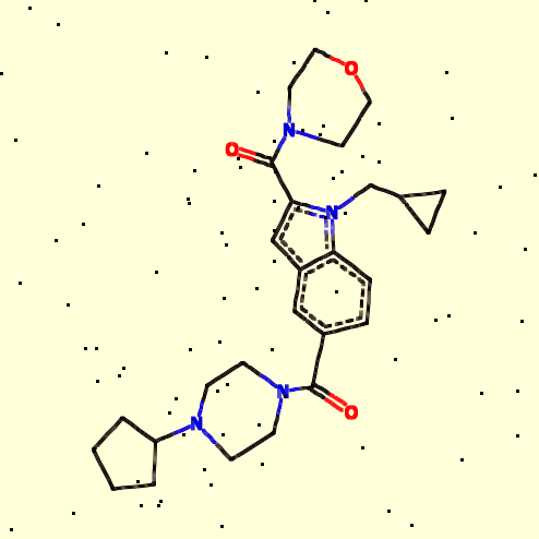 O=C(c1ccc2c(c1)cc(C(=O)N1CCOCC1)n2CC1CC1)N1CCN(C2CCCC2)CC1